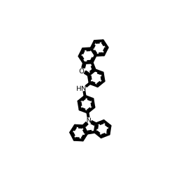 c1ccc2c(c1)ccc1oc3c(Nc4ccc(-n5c6ccccc6c6ccccc65)cc4)cccc3c12